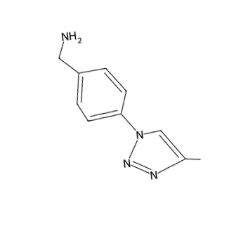 Cc1cn(-c2ccc(CN)cc2)nn1